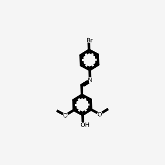 COc1cc(C=Nc2ccc(Br)cc2)cc(OC)c1O